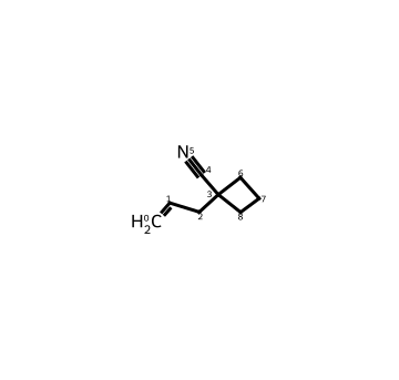 C=CCC1(C#N)CCC1